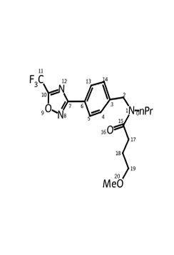 CCCN(Cc1ccc(-c2noc(C(F)(F)F)n2)cc1)C(=O)CCCOC